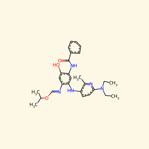 CCN(CC)c1ccc(Nc2cc(NC(=O)c3ccccc3)c(O)cc2/N=C/OC(C)C)c(C)n1